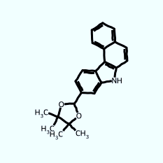 CC1(C)OC(c2ccc3c(c2)[nH]c2ccc4ccccc4c23)OC1(C)C